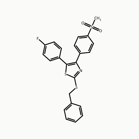 CS(=O)(=O)c1ccc(-c2nc(SCc3ccccc3)sc2-c2ccc(F)cc2)cc1